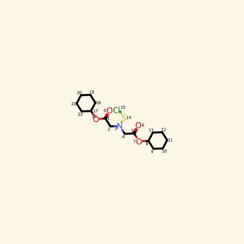 O=C(CN(CC(=O)OC1CCCCC1)SCl)OC1CCCCC1